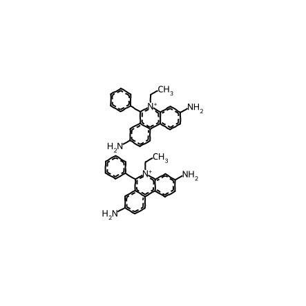 CC[n+]1c(-c2ccccc2)c2cc(N)ccc2c2ccc(N)cc21.CC[n+]1c(-c2ccccc2)c2cc(N)ccc2c2ccc(N)cc21